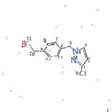 Clc1ccn(Cc2ccc(CBr)cc2)n1